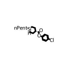 CCCCC[Si@H]1CC[C@H](C(=O)Oc2ccc(Cl)cc2)CC1